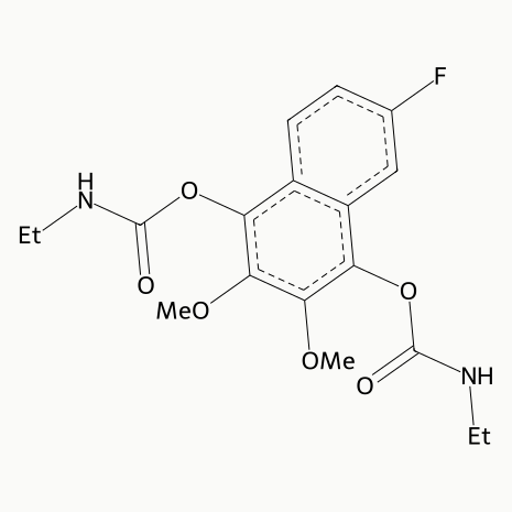 CCNC(=O)Oc1c(OC)c(OC)c(OC(=O)NCC)c2cc(F)ccc12